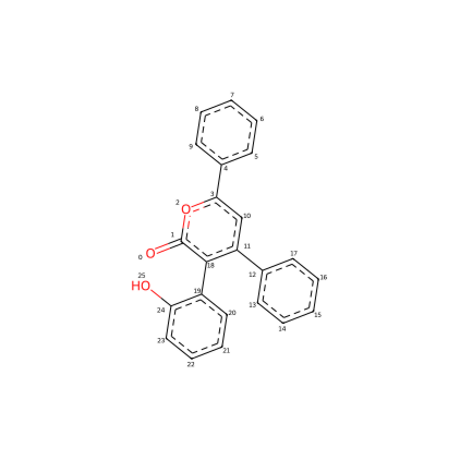 O=c1oc(-c2ccccc2)cc(-c2ccccc2)c1-c1ccccc1O